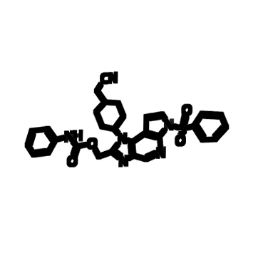 N#CCC1CCC(n2c(COC(=O)Nc3ccccc3)nc3cnc4c(ccn4S(=O)(=O)c4ccccc4)c32)CC1